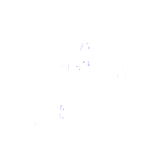 COC(C(=O)Nc1nnc(NC2CCC(c3cc(C(=O)O)cnn3)CC2)s1)c1cc(OC(F)(F)F)ccc1F